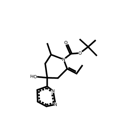 C/C=C1/CC(O)(c2cccnn2)CC(C)N1C(=O)OC(C)(C)C